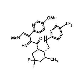 CN/C=C(\C(=N)C(=O)N1CC(F)(F)CC(C)[C@H]1CNc1ccc(C(F)(F)F)cn1)c1ccc(OC)cn1